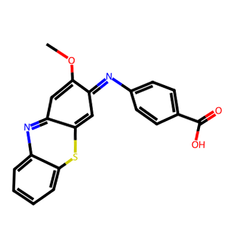 COc1cc2nc3ccccc3sc-2cc1=Nc1ccc(C(=O)O)cc1